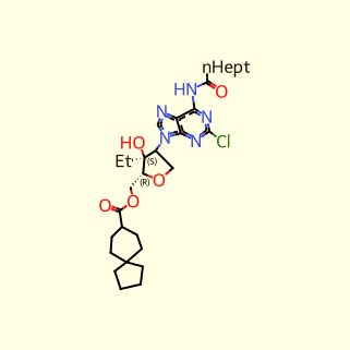 CCCCCCCC(=O)Nc1nc(Cl)nc2c1ncn2C1CO[C@H](COC(=O)C2CCC3(CCCC3)CC2)[C@]1(O)CC